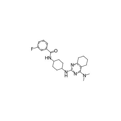 CN(C)c1nc(NC2CCC(NC(=O)c3cccc(F)c3)CC2)nc2c1CCCC2